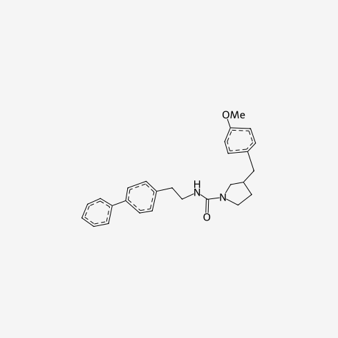 COc1ccc(CC2CCN(C(=O)NCCc3ccc(-c4ccccc4)cc3)C2)cc1